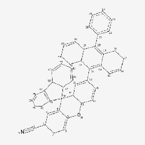 N#CC1C=C2C(=CC1)OC1C=CC(C3=C4C=CCCC4=C(c4ccccc4)C4C=CCCC34)=CC1C21C2=C(C=CCC2)C2C=CC=CC21